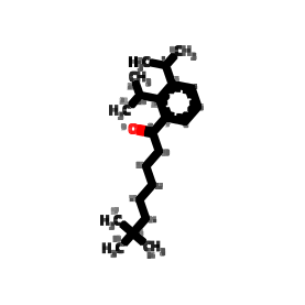 CC(C)c1cccc(C(=O)CCCCCC(C)(C)C)c1C(C)C